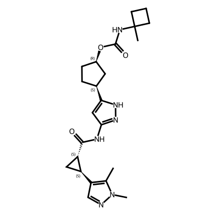 Cc1c([C@H]2C[C@@H]2C(=O)Nc2cc([C@H]3CC[C@@H](OC(=O)NC4(C)CCC4)C3)[nH]n2)cnn1C